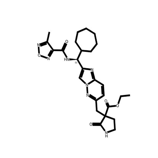 CCOC(=O)C1(Cc2ccc3nc([C@@H](NC(=O)c4nonc4C)C4CCCCCC4)cn3n2)CCNC1=O